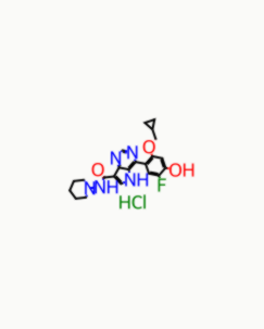 Cl.O=C(NN1CCCCC1)c1c[nH]c2c(-c3cc(F)c(O)cc3OCC3CC3)ncnc12